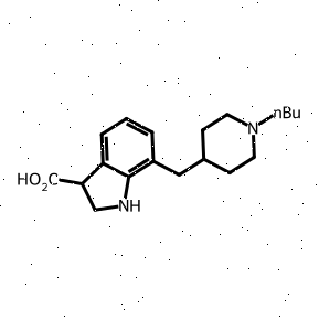 CCCCN1CCC(Cc2cccc3c2NCC3C(=O)O)CC1